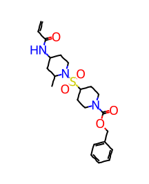 C=CC(=O)NC1CCN(S(=O)(=O)C2CCN(C(=O)OCc3ccccc3)CC2)C(C)C1